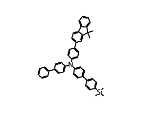 CC1(C)c2ccccc2-c2ccc(-c3ccc(N(c4ccc(-c5ccccc5)cc4)c4ccc(-c5ccc([Si](C)(C)C)cc5)cc4)cc3)cc21